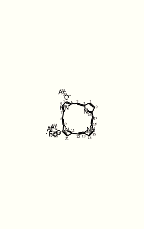 C1=Cc2cc3ccc(cc4nc(cc5ccc(cc1n2)[nH]5)C=C4)[nH]3.CC(=O)[O-].CC(=O)[O-].CC(=O)[O-].[Fe+3]